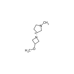 COC1CN([C@@H]2CCN(C)C2)C1